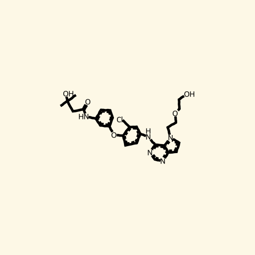 CC(C)(O)CC(=O)Nc1cccc(Oc2ccc(Nc3ncnc4ccn(CCOCCO)c34)cc2Cl)c1